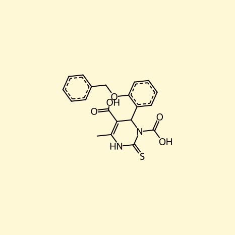 CC1=C(C(=O)O)C(c2ccccc2OCc2ccccc2)N(C(=O)O)C(=S)N1